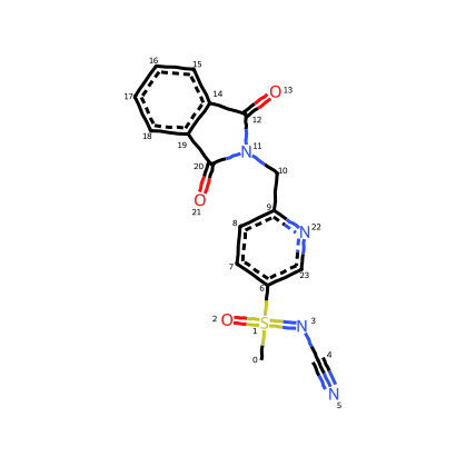 CS(=O)(=NC#N)c1ccc(CN2C(=O)c3ccccc3C2=O)nc1